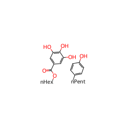 CCCCCCOC(=O)c1cc(O)c(O)c(O)c1.CCCCCc1ccc(O)cc1